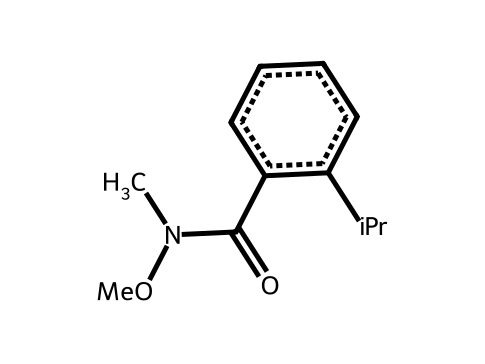 CON(C)C(=O)c1ccccc1C(C)C